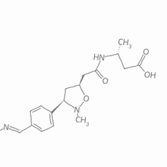 C[C@H](CC(=O)O)NC(=O)C[C@@H]1C[C@H](c2ccc(C=NN)cc2)N(C)O1